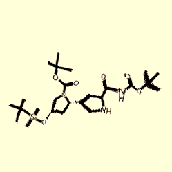 CC(C)(C)OC(=O)NC(=O)C1CC([C@@H]2C[C@@H](O[Si](C)(C)C(C)(C)C)CN2C(=O)OC(C)(C)C)CN1